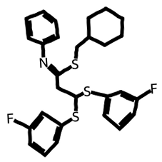 Fc1cccc(SC(CC(=Nc2ccccc2)SCC2CCCCC2)Sc2cccc(F)c2)c1